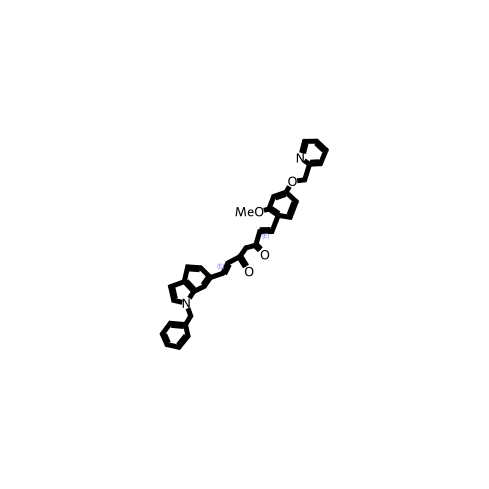 COc1cc(OCc2ccccn2)ccc1/C=C/C(=O)CC(=O)/C=C/c1ccc2ccn(Cc3ccccc3)c2c1